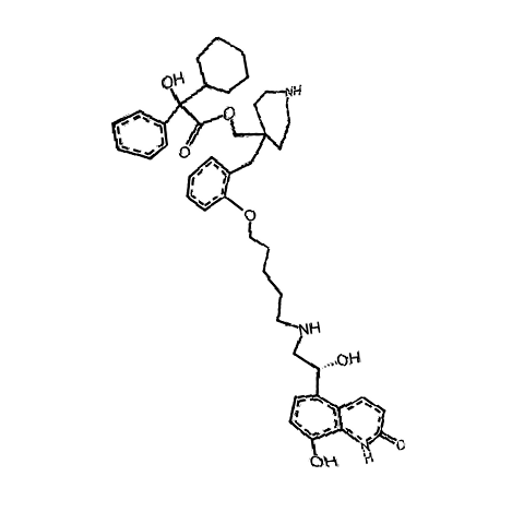 O=C(OCC1(Cc2ccccc2OCCCCCNC[C@H](O)c2ccc(O)c3[nH]c(=O)ccc23)CCNCC1)C(O)(c1ccccc1)C1CCCCC1